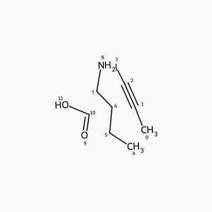 CC#CI.CCCCN.O=CO